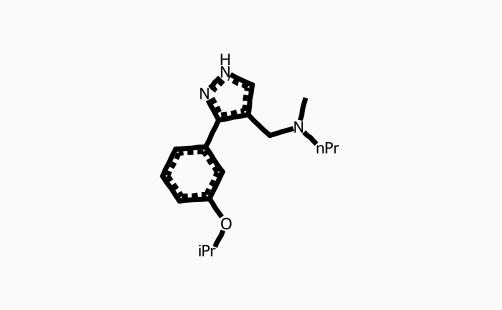 CCCN(C)Cc1c[nH]nc1-c1cccc(OC(C)C)c1